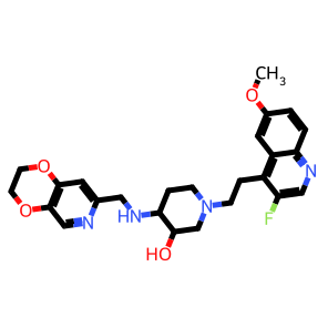 COc1ccc2ncc(F)c(CCN3CCC(NCc4cc5c(cn4)OCCO5)C(O)C3)c2c1